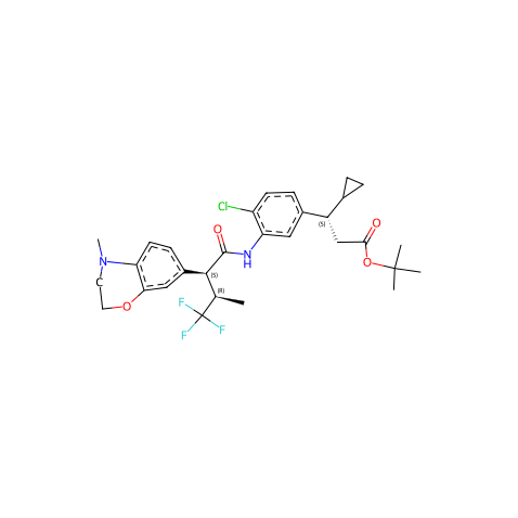 C[C@H]([C@H](C(=O)Nc1cc([C@@H](CC(=O)OC(C)(C)C)C2CC2)ccc1Cl)c1ccc2c(c1)OCCN2C)C(F)(F)F